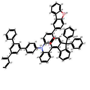 c1ccc(-c2cc(-c3ccccc3)cc(-c3ccc(N(c4ccc(-c5ccc6oc7ccccc7c6c5)cc4)c4ccccc4-c4cccc5c4-c4ccccc4C5(c4ccccc4)c4ccccc4)cc3)c2)cc1